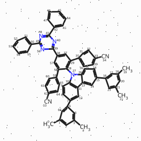 Cc1cc(C)cc(-c2ccc3c(c2)c2cc(-c4cc(C)cc(C)c4)ccc2n3-c2c(-c3ccc(C#N)cc3)cc(-c3nc(-c4ccccc4)nc(-c4ccccc4)n3)cc2-c2ccc(C#N)cc2)c1